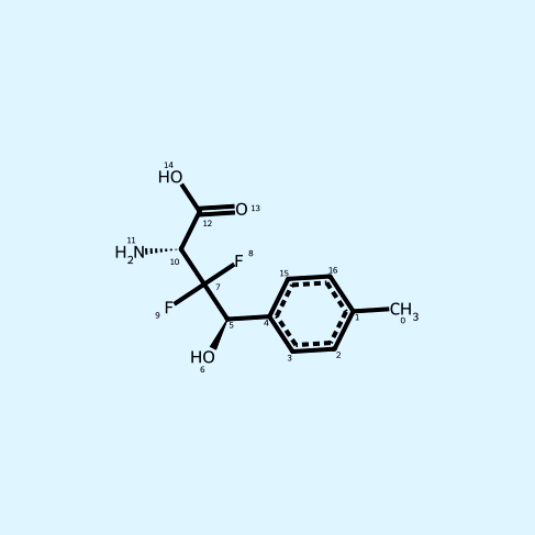 Cc1ccc([C@@H](O)C(F)(F)[C@H](N)C(=O)O)cc1